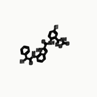 CCC(C(=O)Nc1cccc2cc(C(=O)Nc3ccc(Cl)cc3-c3noc(=O)[nH]3)[nH]c12)c1ccccc1